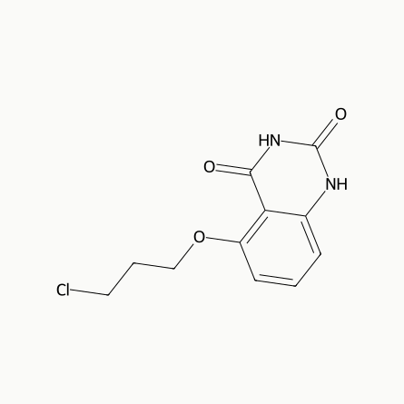 O=c1[nH]c(=O)c2c(OCCCCl)cccc2[nH]1